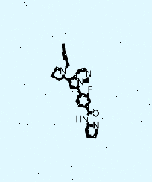 CC#CCN1CCCC1c1cc(-c2ccc(C(=O)Nc3ccccn3)cc2F)n2cnccc12